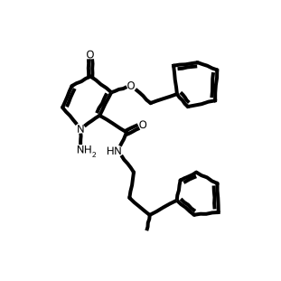 CC(CCNC(=O)c1c(OCc2ccccc2)c(=O)ccn1N)c1ccccc1